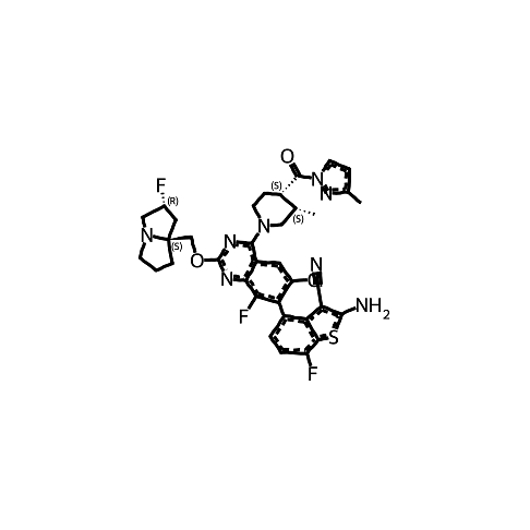 Cc1ccn(C(=O)[C@H]2CCN(c3nc(OC[C@@]45CCCN4C[C@H](F)C5)nc4c(F)c(-c5ccc(F)c6sc(N)c(C#N)c56)c(Cl)cc34)C[C@H]2C)n1